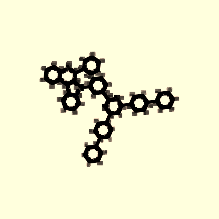 c1ccc(-c2ccc(-c3cc(-c4ccc(-c5ccccc5)cc4)nc(-c4cccc(-n5c6ccccc6c6c7ccccc7nc(-c7ccccc7)c65)c4)n3)cc2)cc1